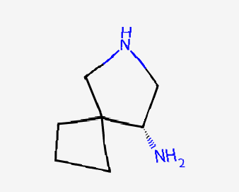 N[C@H]1CNCC12CCC2